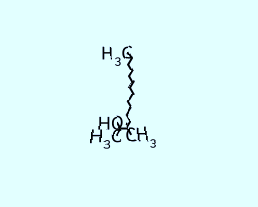 CCCCCCCCCCCC[C](C)C(C)O